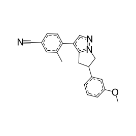 COc1cccc(C2Cc3c(-c4ccc(C#N)cc4C)cnn3C2)c1